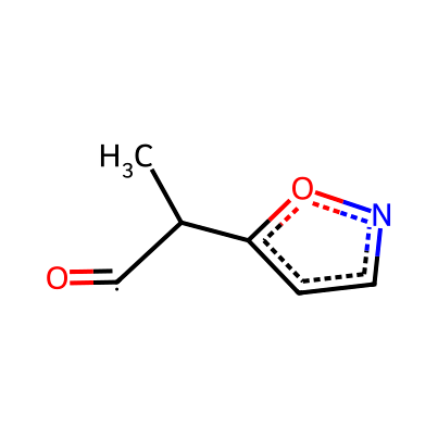 CC([C]=O)c1ccno1